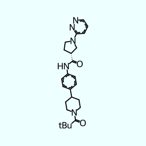 CC(C)(C)C(=O)N1CCC(c2ccc(NC(=O)[C@@H]3CCN(c4cccnn4)C3)cc2)CC1